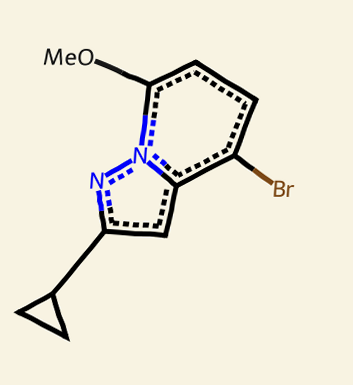 COc1ccc(Br)c2cc(C3CC3)nn12